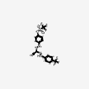 N#CC(N=Nc1ccc(OS(=O)(=O)C(F)(F)F)cc1)=NNc1ccc(C(F)(F)F)cc1